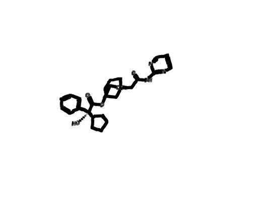 O=C(C[N+]12CCC(CC1)C(OC(=O)[C@](O)(c1ccccc1)C1CCCC1)C2)Nc1ncccn1